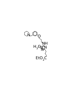 CCOC(=O)CCCc1nc(NCCCOc2cccc(CN3CCCCC3)c2)n(C)n1